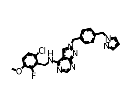 COc1ccc(Cl)c(CNc2ncnc3nn(Cc4ccc(Cn5cccn5)cc4)cc23)c1F